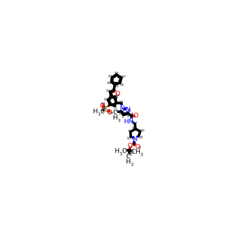 Cc1cc(C(=O)NCC2CCN(C(=O)OC(C)(C)C)CC2)nn1Cc1cc(S(C)(=O)=O)cc2cc(-c3ccccc3)oc12